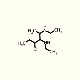 CCNC(C)C(NCC)C(C)CC